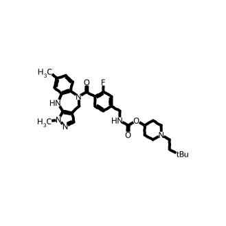 Cc1ccc2c(c1)Nc1c(cnn1C)CN2C(=O)c1ccc(CNC(=O)OC2CCN(CCC(C)(C)C)CC2)cc1F